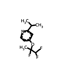 CC(C)c1cc(OC(C)(F)C(F)F)ccn1